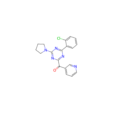 O=C(c1cccnc1)c1nc(-c2ccccc2Cl)nc(N2CCCC2)n1